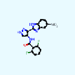 O=C(Nc1c[nH]nc1-c1nc2cc([N+](=O)[O-])ccc2[nH]1)c1c(F)cccc1F